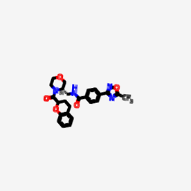 O=C(NC[C@H]1COCCN1C(=O)C1CCc2ccccc2O1)c1ccc(-c2noc(C(F)(F)F)n2)cc1